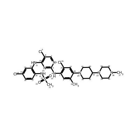 Cc1cc(Nc2ncc(Cl)c(Nc3cc(Cl)ccc3NS(C)(=O)=O)n2)c(Cl)cc1N1CCC(N2CCN(C)CC2)CC1